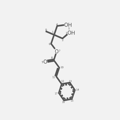 CC(CO)(CO)COC(=O)C=Cc1ccccc1